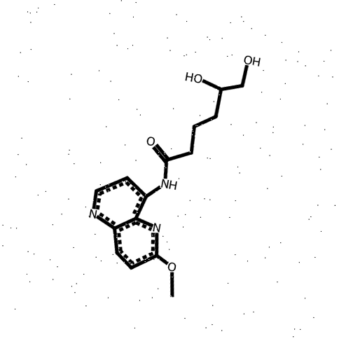 COc1ccc2nccc(NC(=O)CCCC(O)CO)c2n1